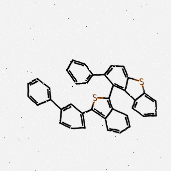 c1ccc(-c2cccc(-c3sc(-c4c(-c5ccccc5)ccc5sc6ccccc6c45)c4ccccc34)c2)cc1